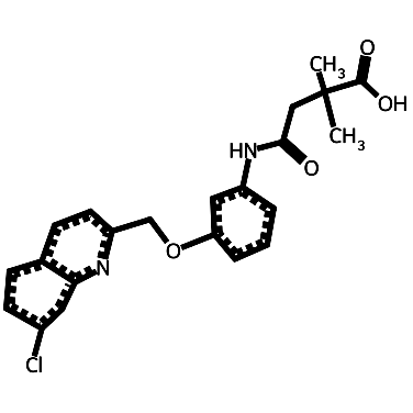 CC(C)(CC(=O)Nc1cccc(OCc2ccc3ccc(Cl)cc3n2)c1)C(=O)O